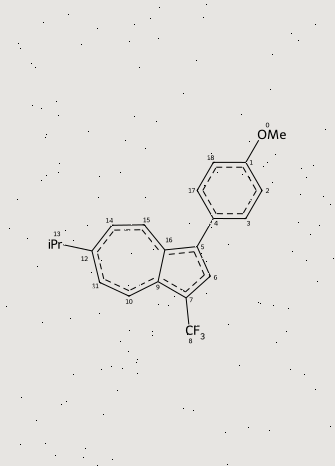 COc1ccc(-c2cc(C(F)(F)F)c3ccc(C(C)C)ccc2-3)cc1